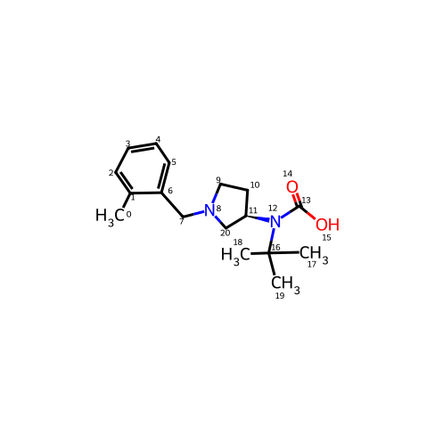 Cc1ccccc1CN1CC[C@@H](N(C(=O)O)C(C)(C)C)C1